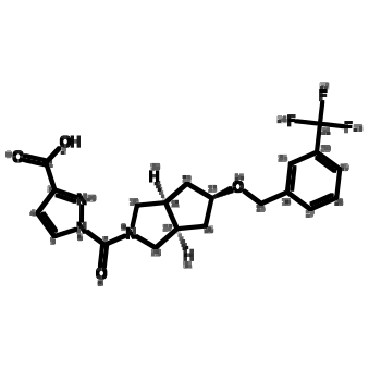 O=C(O)c1ccn(C(=O)N2C[C@H]3C[C@@H](OCc4cccc(C(F)(F)F)c4)C[C@H]3C2)n1